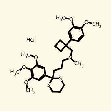 COc1ccc(C2(CN(C)CCCC3(c4cc(OC)c(OC)c(OC)c4)SCCCS3)CCC2)cc1OC.Cl